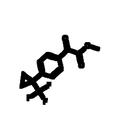 COC(=O)C(=O)c1ccc(C2(C(F)(F)F)CC2)cc1